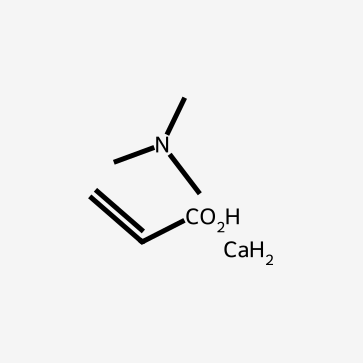 C=CC(=O)O.CN(C)C.[CaH2]